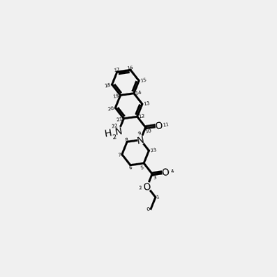 CCOC(=O)C1CCCN(C(=O)c2cc3ccccc3cc2N)C1